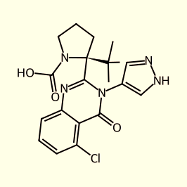 CC(C)(C)[C@]1(c2nc3cccc(Cl)c3c(=O)n2-c2cn[nH]c2)CCCN1C(=O)O